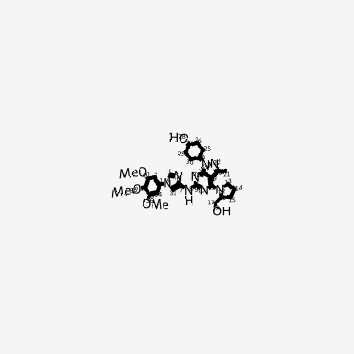 COc1cc(-n2cnc(Nc3nc(N4CCCC4CO)c4c(C)nn(C5CCC(O)CC5)c4n3)c2)cc(OC)c1OC